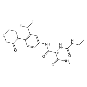 CCNC(=O)N[C@H](C(N)=O)C(=O)Nc1ccc(N2CCOCC2=O)c(C(F)F)c1